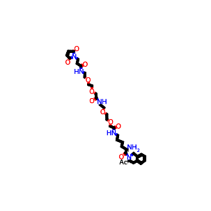 CC(=O)[C@H]1Cc2ccccc2CN1C(=O)[C@H](N)CCCCNC(=O)COCCOCCNC(=O)COCCOCCNC(=O)CCN1C(=O)C=CC1=O